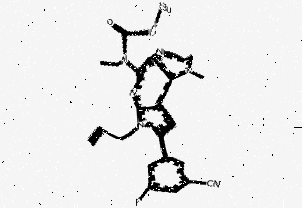 C=CCn1c(-c2cc(F)cc(C#N)c2)cc2c3c(ncn3C)c(N(C)C(=O)OC(C)(C)C)nc21